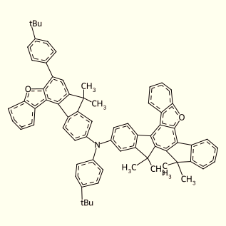 CC(C)(C)c1ccc(-c2cc3c(c4c2oc2ccccc24)-c2ccc(N(c4ccc(C(C)(C)C)cc4)c4ccc5c(c4)C(C)(C)c4c6c(c7oc8ccccc8c7c4-5)-c4ccccc4C6(C)C)cc2C3(C)C)cc1